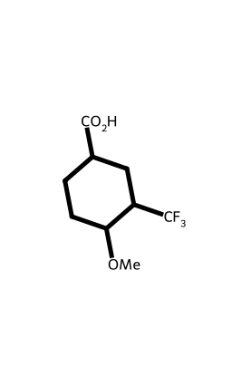 COC1CCC(C(=O)O)CC1C(F)(F)F